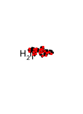 C/C=C\C=C/C(C)/C(c1cccc(C(/C=C\CI)=C(/N)C2C=CC=C3C=CCCC32)c1)=c1/cccc/c1=C(/C)C1=c2ccccc2=C(C2=CC=C(C)CC2)CC1